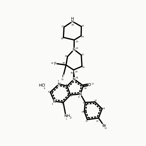 Cl.Nc1ncnc2c1n(-c1ccc(Br)cc1)c(=O)n2[C@@H]1CCN(C2CCNCC2)CC1(F)F